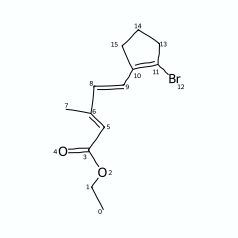 CCOC(=O)C=C(C)C=CC1=C(Br)CCC1